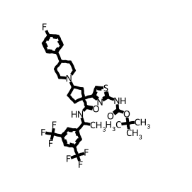 CC(NC(=O)C1(c2csc(NC(=O)OC(C)(C)C)n2)CCC(N2CCC(c3ccc(F)cc3)CC2)C1)c1cc(C(F)(F)F)cc(C(F)(F)F)c1